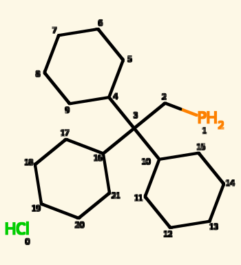 Cl.PCC(C1CCCCC1)(C1CCCCC1)C1CCCCC1